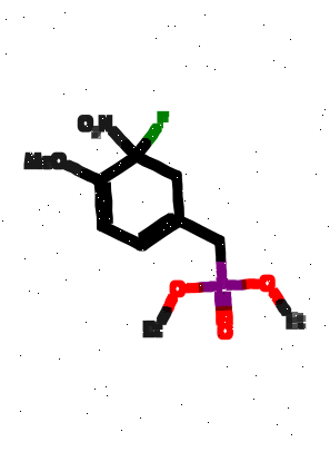 CCOP(=O)(CC1=CC=C(OC)C(F)([N+](=O)[O-])C1)OCC